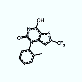 Cc1ccccc1-n1c(=O)nc(O)c2sc(C(F)(F)F)cc21